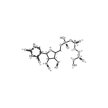 O=NC1C(COP(=O)(O)O[PH](=O)OO[PH](=O)OO)OC(c2c[nH]c(=O)[nH]c2=O)C1N=O